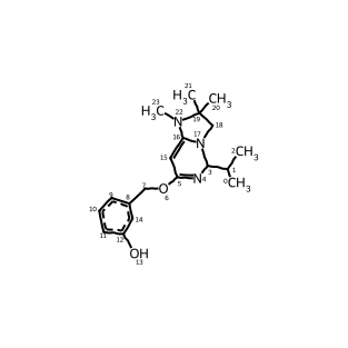 CC(C)C1N=C(OCc2cccc(O)c2)C=C2N1CC(C)(C)N2C